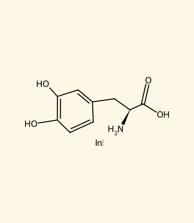 N[C@@H](Cc1ccc(O)c(O)c1)C(=O)O.[In]